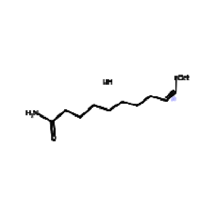 CCCCCCCC/C=C\CCCCCCCC(N)=O.[LiH]